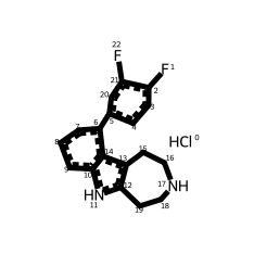 Cl.Fc1ccc(-c2cccc3[nH]c4c(c23)CCNCC4)cc1F